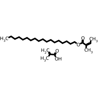 C=C(C)C(=O)O.CC=C(C)C(=O)OCCCCCCCCCCCCCCCCCC